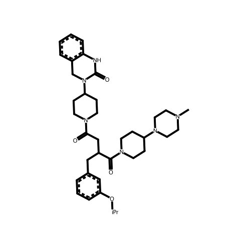 CC(C)Oc1cccc(CC(CC(=O)N2CCC(N3Cc4ccccc4NC3=O)CC2)C(=O)N2CCC(N3CCN(C)CC3)CC2)c1